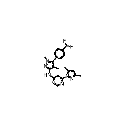 Cc1cc(C)n(-c2cc(Nc3nn(C)c(-c4ccc(C(F)F)cc4)c3C)ncn2)n1